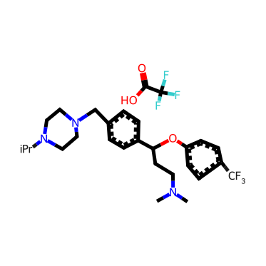 CC(C)N1CCN(Cc2ccc(C(CCN(C)C)Oc3ccc(C(F)(F)F)cc3)cc2)CC1.O=C(O)C(F)(F)F